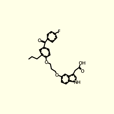 CCCc1cc(C(=O)c2ccc(F)cc2)ccc1OCCCOc1ccc2[nH]cc(CC(=O)O)c2c1